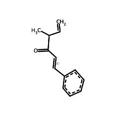 C=CC(C)C(=O)/C=C/c1ccccc1